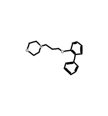 [c]1cccc(-c2ccccc2)c1OCCCN1CCOCC1